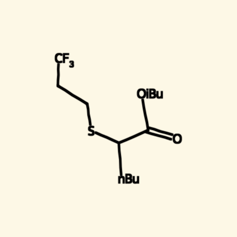 CCCCC(SCCC(F)(F)F)C(=O)OCC(C)C